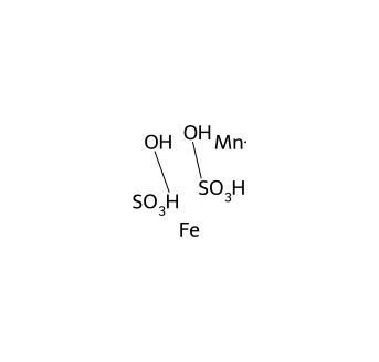 O=S(=O)(O)O.O=S(=O)(O)O.[Fe].[Mn]